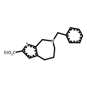 CCOC(=O)c1cc2c(s1)CN(Cc1ccccc1)CCC2